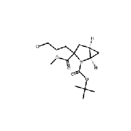 COC(=O)C1(CCCCl)C[C@H]2C[C@H]2N1C(=O)OC(C)(C)C